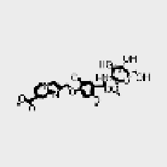 COC(=O)c1ccn2cc(COc3cc(OC)c(C(=O)N[C@H]4[C@@H](OC)O[C@H](CO)[C@@H](O)[C@@H]4O)cc3Cl)nc2c1